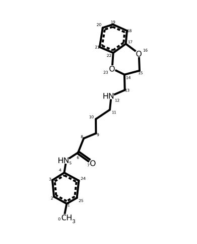 Cc1ccc(NC(=O)CCCCNCC2COc3ccccc3O2)cc1